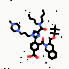 CCCCN(CCCC)C(=O)c1cn(CCCN2CCN(C)CC2)c(-c2ccc(C(=O)O)cc2C(=O)N2Cc3ccccc3CC2CO[Si](C)(C)C(C)(C)C)n1